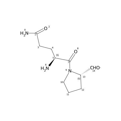 NC(=O)CC[C@H](N)C(=O)N1CCC[C@H]1[C]=O